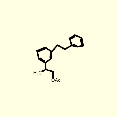 CC(=O)OCC(C)c1cccc(CCc2ccccc2)c1